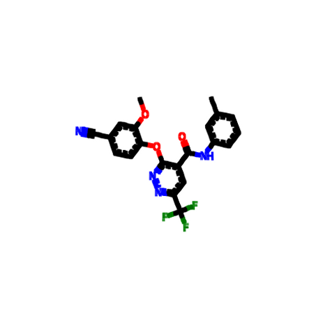 COc1cc(C#N)ccc1Oc1nnc(C(F)(F)F)cc1C(=O)Nc1cccc(C)c1